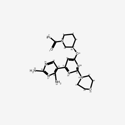 CC(C)C(=O)N1CCC[C@@H](Oc2cc(-c3cnc(N)nc3N)nc(N3CCOCC3)n2)C1